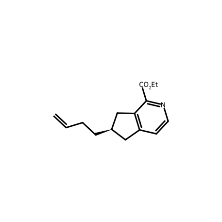 C=CCC[C@@H]1Cc2ccnc(C(=O)OCC)c2C1